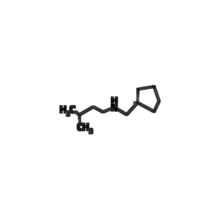 CC(C)CCNC[C]1CCCC1